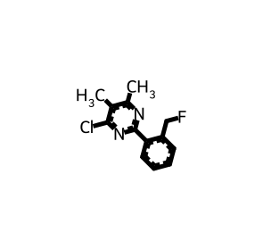 Cc1nc(-c2ccccc2CF)nc(Cl)c1C